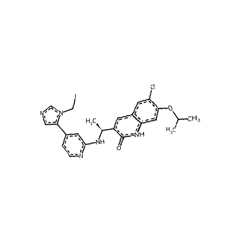 CC(C)Oc1cc2[nH]c(=O)c([C@H](C)Nc3cc(-c4cncn4CI)ccn3)cc2cc1Cl